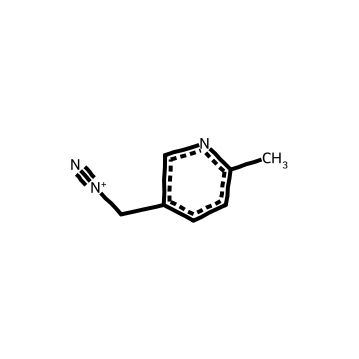 Cc1ccc(C[N+]#N)cn1